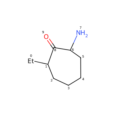 CCC1CCCCC(N)C1=O